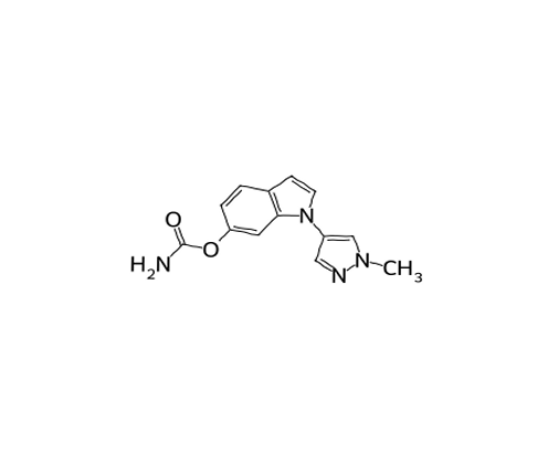 Cn1cc(-n2ccc3ccc(OC(N)=O)cc32)cn1